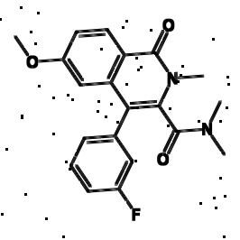 COc1ccc2c(=O)n(C)c(C(=O)N(C)C)c(-c3cccc(F)c3)c2c1